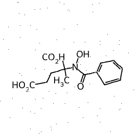 CC(CCC(=O)O)(C(=O)O)N(O)C(=O)c1ccccc1